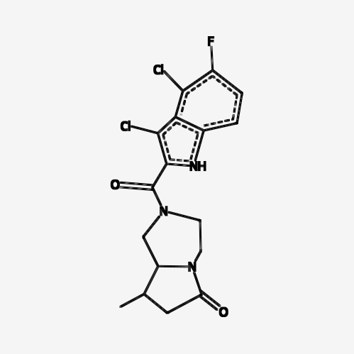 CC1CC(=O)N2CCN(C(=O)c3[nH]c4ccc(F)c(Cl)c4c3Cl)CC12